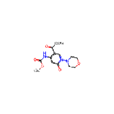 COC(=O)c1cn(N2CCOCC2)c(=O)cc1NC(=O)OC(C)(C)C